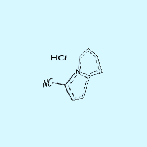 Cl.N#Cc1ccc2ccccn12